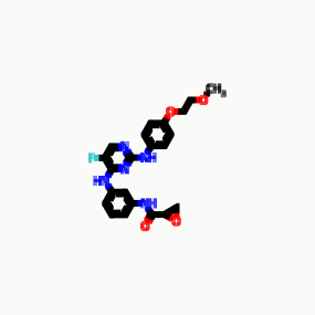 COCCOc1ccc(Nc2ncc(F)c(Nc3cccc(NC(=O)C4CO4)c3)n2)cc1